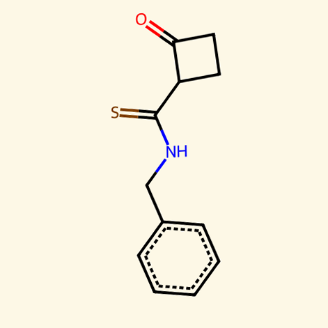 O=C1CCC1C(=S)NCc1ccccc1